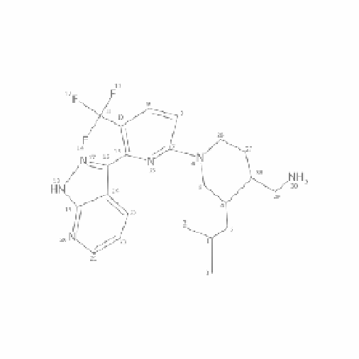 CC(C)CC1CN(c2ccc(C(F)(F)F)c(-c3n[nH]c4ncccc34)n2)CCC1CN